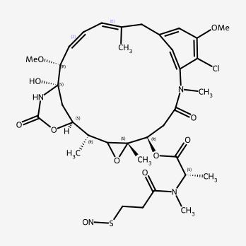 COc1cc2cc(c1Cl)N(C)C(=O)C[C@@H](OC(=O)[C@H](C)N(C)C(=O)CCSN=O)[C@]1(C)OC1[C@H](C)[C@@H]1C[C@@](O)(NC(=O)O1)[C@H](OC)/C=C\C=C(/C)C2